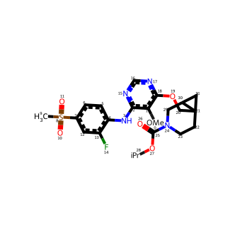 COc1c(Nc2ccc(S(C)(=O)=O)cc2F)ncnc1OCC12CCN(C(=O)OC(C)C)CC1C2